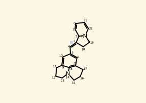 C1=CC2/C(=C/c3cc4c5c(c3)CCCN5CCC4)CCN2C=C1